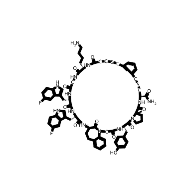 C[C@@]12CCCN1C(=O)[C@H](Cc1ccc(O)cc1)NC(=O)CN1C(=O)[C@H](CCc3ccccc31)NC(=O)[C@H](Cc1c[nH]c3ccc(F)cc13)NC(=O)[C@H](Cc1c[nH]c3ccc(F)cc13)NC(=O)CNC(=O)[C@H](CCCCN)NC(=O)CCSCc1cccc(c1)CSC[C@@H](C(N)=O)NC2=O